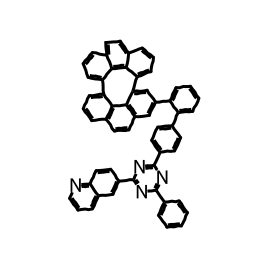 c1ccc(-c2nc(-c3ccc(-c4ccccc4-c4cc5ccc6cccc7c8cccc9ccc%10cccc(c(c4)c5c67)c%10c98)cc3)nc(-c3ccc4ncccc4c3)n2)cc1